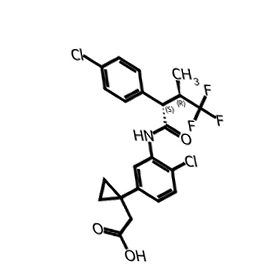 C[C@H]([C@H](C(=O)Nc1cc(C2(CC(=O)O)CC2)ccc1Cl)c1ccc(Cl)cc1)C(F)(F)F